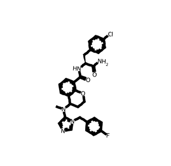 CN(c1cncn1Cc1ccc(F)cc1)C1CCOc2c(C(=O)N[C@@H](Cc3ccc(Cl)cc3)C(N)=O)cccc21